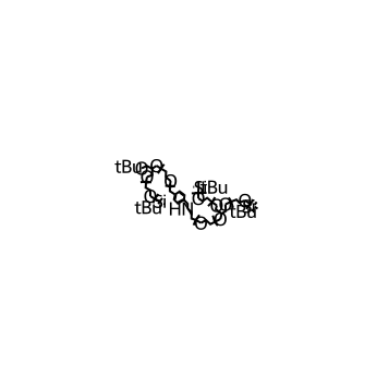 CC(C)(C)OCC(COC(C)(C)CCOC(C)(C)[Si](C)(C)C(C)(C)C)OC(C)(C)CCOC(C)(C)Cc1ccc(CNCCC(C)(C)OCCC(C)(C)OC(COC(C)(C)CCOC(C)(C)[Si](C)(C)C(C)(C)C)COC(C)(C)CCOC(C)(C)[Si](C)(C)C(C)(C)C)cc1